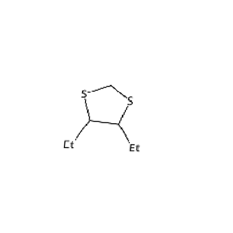 CCC1SCSC1CC